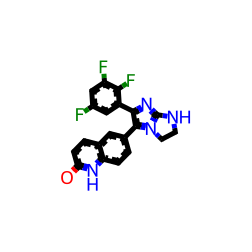 O=c1ccc2cc(-c3c(-c4cc(F)cc(F)c4F)nc4n3CCN4)ccc2[nH]1